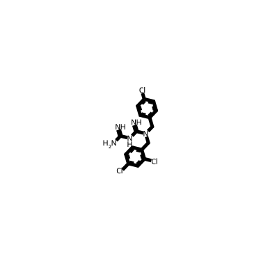 N=C(N)NC(=N)N(Cc1ccc(Cl)cc1)Cc1ccc(Cl)cc1Cl